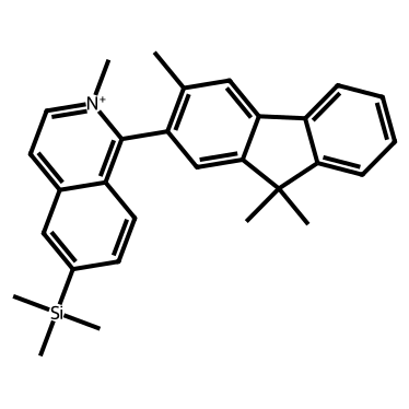 Cc1cc2c(cc1-c1c3ccc([Si](C)(C)C)cc3cc[n+]1C)C(C)(C)c1ccccc1-2